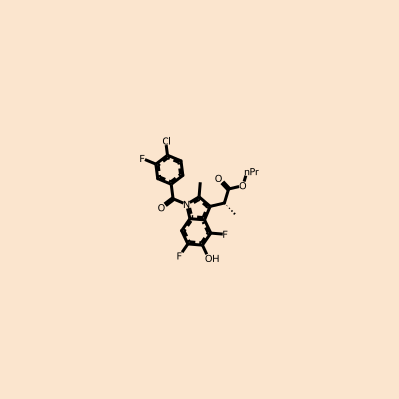 CCCOC(=O)[C@H](C)c1c(C)n(C(=O)c2ccc(Cl)c(F)c2)c2cc(F)c(O)c(F)c12